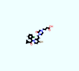 O=C(O)CCCN1CCN(C/C=C2\CN(C(C(=O)C3CC3)c3ccccc3F)CCC2S)C(=O)C1